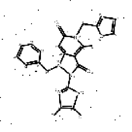 Cc1nc(-n2c(=O)c3c(C)n(Cc4ccco4)c(=O)cc3n2Cc2ccccc2)sc1C